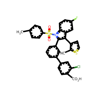 Cc1ccc(S(=O)(=O)n2c(-c3cccc(-c4ccc(C(=O)O)c(Cl)c4)c3)c(-c3ccsc3C#N)c3cc(F)ccc32)cc1